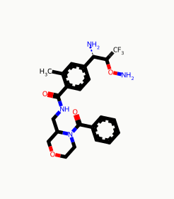 Cc1cc([C@H](N)C(ON)C(F)(F)F)ccc1C(=O)NCC1COCCN1C(=O)c1ccccc1